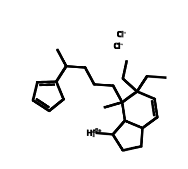 CCC1(CC)C=CC2CC[CH]([Hf+2])C2C1(C)CCCC(C)C1=CC=CC1.[Cl-].[Cl-]